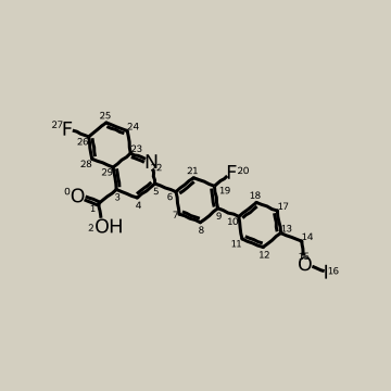 O=C(O)c1cc(-c2ccc(-c3ccc(COI)cc3)c(F)c2)nc2ccc(F)cc12